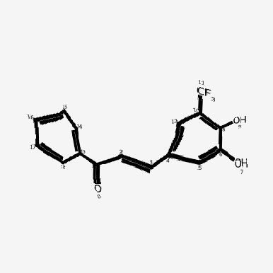 O=C(C=Cc1cc(O)c(O)c(C(F)(F)F)c1)c1ccccc1